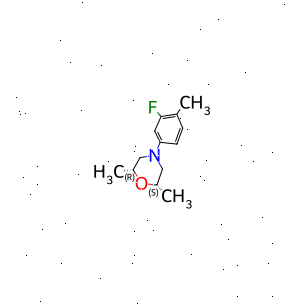 Cc1ccc(N2C[C@@H](C)O[C@@H](C)C2)cc1F